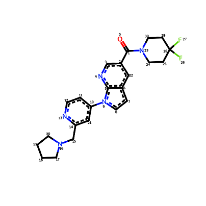 O=C(c1cnc2c(ccn2-c2ccnc(CN3CCCC3)c2)c1)N1CCC(F)(F)CC1